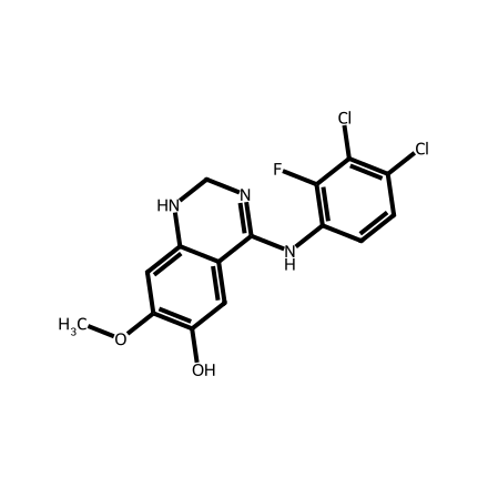 COc1cc2c(cc1O)C(Nc1ccc(Cl)c(Cl)c1F)=NCN2